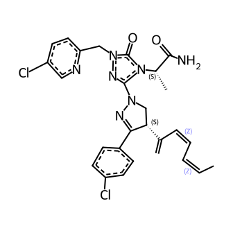 C=C(/C=C\C=C/C)[C@H]1CN(c2nn(Cc3ccc(Cl)cn3)c(=O)n2[C@@H](C)C(N)=O)N=C1c1ccc(Cl)cc1